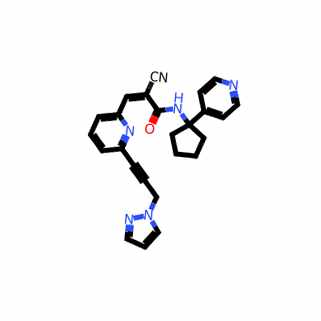 N#CC(=Cc1cccc(C#CCn2cccn2)n1)C(=O)NC1(c2ccncc2)CCCC1